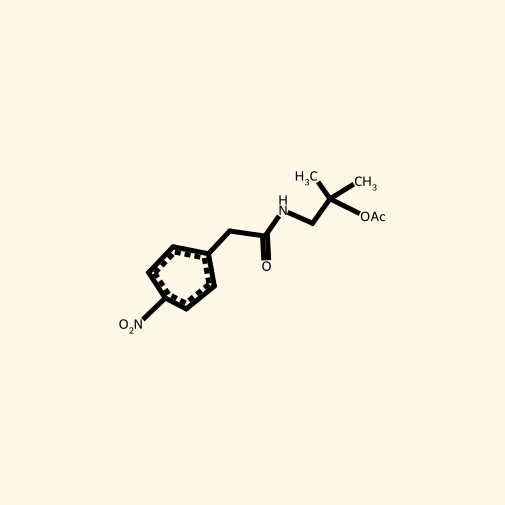 CC(=O)OC(C)(C)CNC(=O)Cc1ccc([N+](=O)[O-])cc1